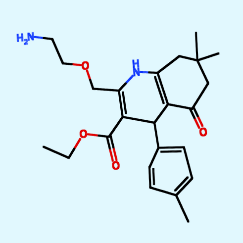 CCOC(=O)C1=C(COCCN)NC2=C(C(=O)CC(C)(C)C2)C1c1ccc(C)cc1